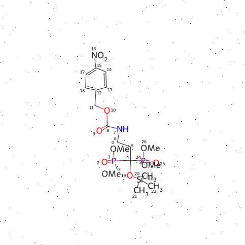 COP(=O)(OC)C(CCNC(=O)OCc1ccc([N+](=O)[O-])cc1)(O[Si](C)(C)C)P(=O)(OC)OC